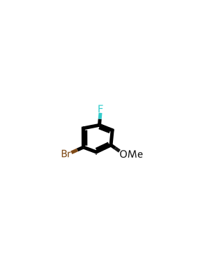 COc1[c]c(Br)cc(F)c1